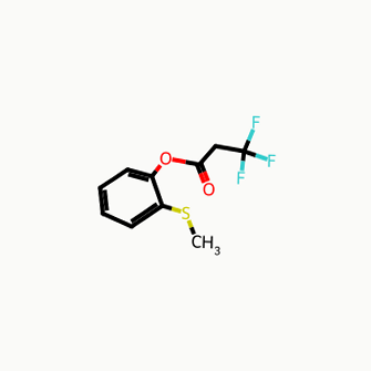 CSc1ccccc1OC(=O)CC(F)(F)F